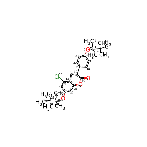 CC(C)(C)[Si](C)(C)Oc1ccc(-c2cc3c(Cl)cc(O[Si](C)(C)C(C)(C)C)cc3oc2=O)cc1